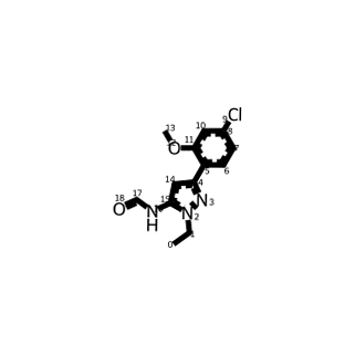 CCn1nc(-c2ccc(Cl)cc2OC)cc1NC=O